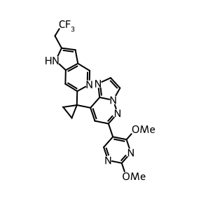 COc1ncc(-c2cc(C3(c4cc5[nH]c(CC(F)(F)F)cc5cn4)CC3)c3nccn3n2)c(OC)n1